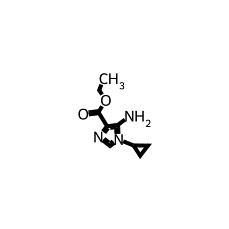 CCOC(=O)c1ncn(C2CC2)c1N